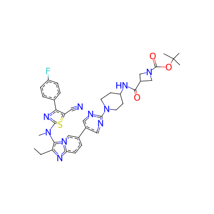 CCc1nc2ccc(-c3cnc(N4CCC(NC(=O)C5CN(C(=O)OC(C)(C)C)C5)CC4)nc3)cn2c1N(C)c1nc(-c2ccc(F)cc2)c(C#N)s1